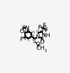 COC[C@H](c1cc(F)c2ocnc2c1)N1C[C@@H](C(F)(F)F)NC1=O